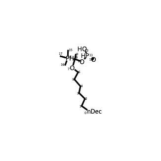 CCCCCCCCCCCCCCCCOC(C)(O[PH](=O)O)[PH](C)(C)C